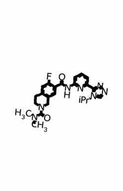 CC(C)n1cnnc1-c1cccc(NC(=O)c2cc3c(cc2F)CCN(C(=O)N(C)C)C3)n1